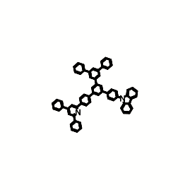 c1ccc(-c2cc(-c3ccccc3)cc(-c3cc(-c4ccc(-c5cc(-c6ccccc6)cc(-c6ccccc6)n5)cc4)cc(-c4ccc(-n5c6ccccc6c6ccccc65)cc4)c3)c2)cc1